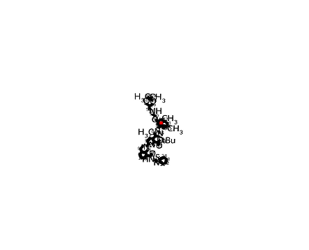 Cc1c(-c2ccc(N3CCc4cccc(C(=O)Nc5nc6ccccc6s5)c4C3)nc2C(=O)OC(C)(C)C)cnn1CC12CC3(C)CC(C)(C1)CC(OCCNCC1COC(C)(C)OC1)(C3)C2